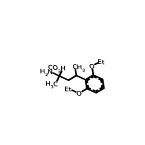 CCOc1cccc(OCC)c1C(C)CC(C)(N)C(=O)O